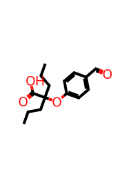 CCCC(CCC)(Oc1ccc(C=O)cc1)C(=O)O